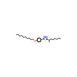 CCCCCCCCCCOc1ccc(-c2nnc(C(C)CCCCCC)s2)cc1